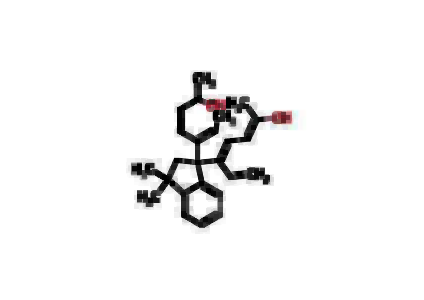 C=C/C(=C\C=C(/C)O)C1(C(/C=C\C(=C)O)=C/C)CC(C)(C)c2ccccc21